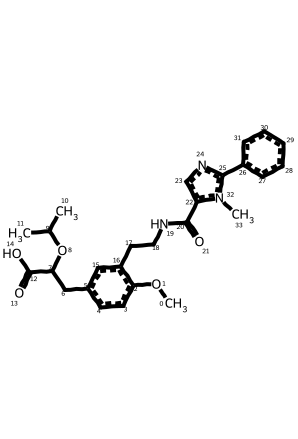 COc1ccc(CC(OC(C)C)C(=O)O)cc1CCNC(=O)c1cnc(-c2ccccc2)n1C